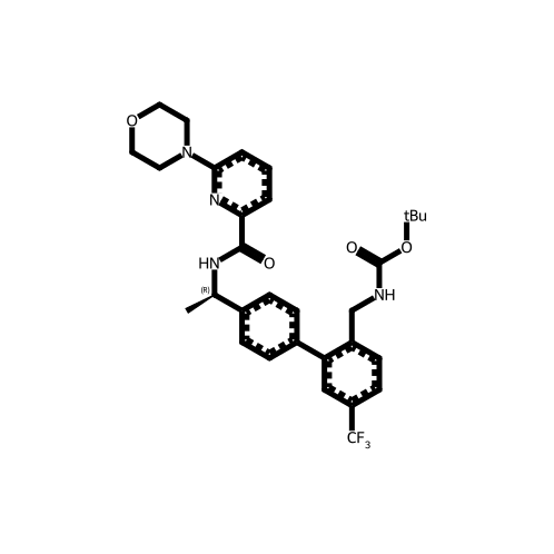 C[C@@H](NC(=O)c1cccc(N2CCOCC2)n1)c1ccc(-c2cc(C(F)(F)F)ccc2CNC(=O)OC(C)(C)C)cc1